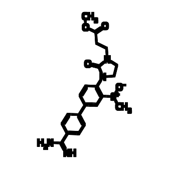 COC(=O)CCN1CCN(c2ccc(-c3ccc(C(=N)N)cc3)cc2[S+](C)[O-])C1=O